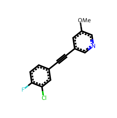 COc1cncc(C#Cc2ccc(F)c(Cl)c2)c1